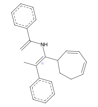 C=C(N/C(=C(\C)c1ccccc1)C1C=CC=CCC1)c1ccccc1